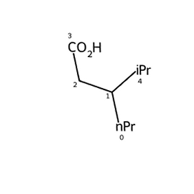 CCCC(CC(=O)O)C(C)C